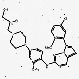 COc1cc(N2CCN(C[C@@H](O)CO)CC2)ccc1Nc1ncc2ccc(-c3cc(Cl)ccc3OC)n2n1